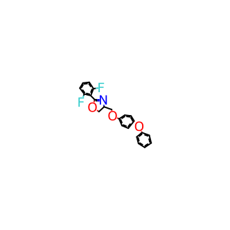 Fc1cccc(F)c1C1=NC(COc2ccc(Oc3ccccc3)cc2)CO1